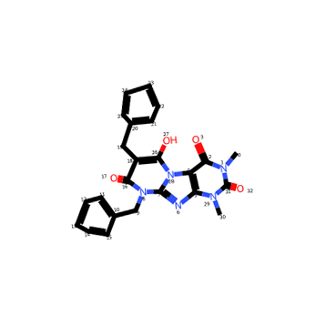 Cn1c(=O)c2c(nc3n(Cc4ccccc4)c(=O)c(Cc4ccccc4)c(O)n23)n(C)c1=O